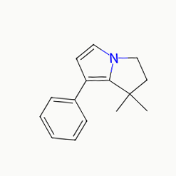 CC1(C)CCn2ccc(-c3ccccc3)c21